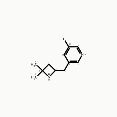 CC1(C)CC(Cc2cncc(F)c2)N1